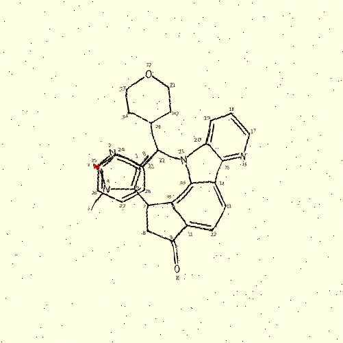 Cc1nnn(C)c1C1CC(=O)c2ccc3c4ncccc4n(C(c4ccccc4)C4CCOCC4)c3c21